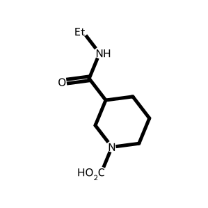 CCNC(=O)C1CCCN(C(=O)O)C1